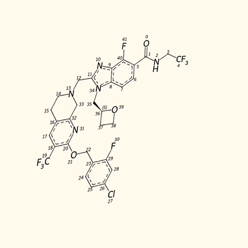 O=C(NCC(F)(F)F)c1ccc2c(nc(CN3CCc4cc(C(F)(F)F)c(OCc5ccc(Cl)cc5F)nc4C3)n2C[C@@H]2CCO2)c1F